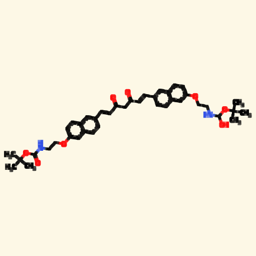 CC(C)(C)OC(=O)NCCOc1ccc2cc(/C=C/C(=O)CC(=O)/C=C/c3ccc4cc(OCCNC(O)OC(C)(C)C)ccc4c3)ccc2c1